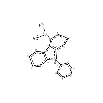 OB(O)c1cccc2c1c1ccccc1n2-c1ccccc1